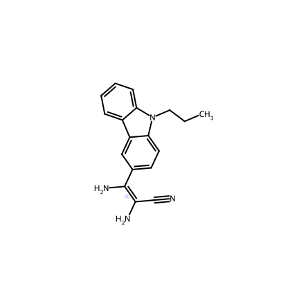 CCCn1c2ccccc2c2cc(/C(N)=C(/N)C#N)ccc21